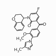 COc1cc(C(=O)c2cc(F)cn(C3CCOc4ccccc43)c2=O)ccc1-n1cnc(C)c1